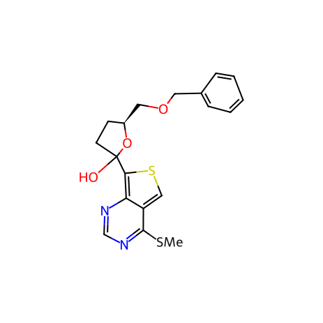 CSc1ncnc2c(C3(O)CC[C@@H](COCc4ccccc4)O3)scc12